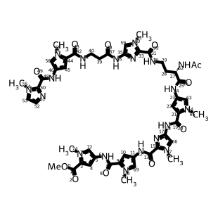 COC(=O)c1cc(NC(=O)c2cc(NC(=O)c3nc(NC(=O)c4cc(NC(=O)[C@H](CCNC(=O)c5nc(NC(=O)CCNC(=O)c6cc(NC(=O)c7nccn7C)cn6C)cn5C)NC(C)=O)cn4C)cn3C)cn2C)cn1C